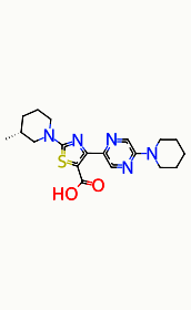 C[C@@H]1CCCN(c2nc(-c3cnc(N4CCCCC4)cn3)c(C(=O)O)s2)C1